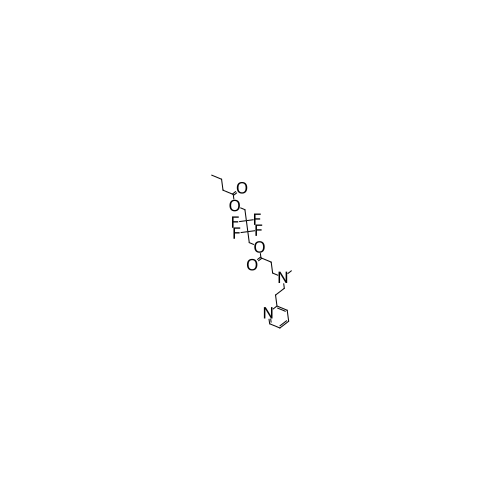 CCCC(=O)OCC(F)(F)C(F)(F)COC(=O)CCN(C)CCc1ccccn1